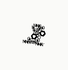 [N-]=[N+]=NS(=O)(=O)c1cccc(Oc2cccc(S(=O)(=O)N=[N+]=[N-])c2S(=O)(=O)N=[N+]=[N-])c1S(=O)(=O)N=[N+]=[N-]